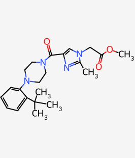 COC(=O)Cn1cc(C(=O)N2CCN(c3ccccc3C(C)(C)C)CC2)nc1C